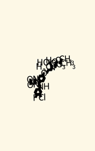 CC(C)(C)OC(=O)CN(CCCOc1ccc2c(Nc3ccc(F)c(Cl)c3)nc([N+](=O)[O-])nc2c1)C(C)(C)CO